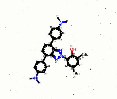 CN(C)c1ccc(-c2ccc(-c3ccc(N(C)C)cc3)c3nn(-c4cc(C(C)(C)C)cc(C(C)(C)C)c4O)nc23)cc1